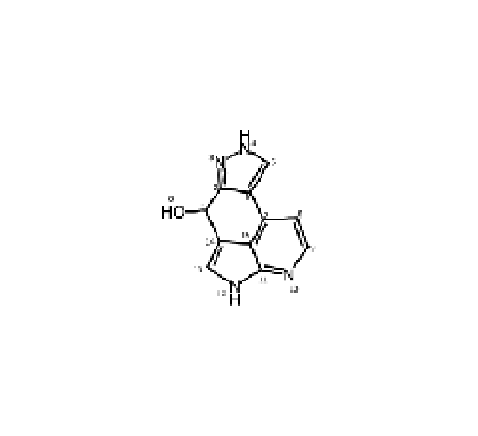 OC1c2n[nH]cc2-c2ccnc3[nH]cc1c23